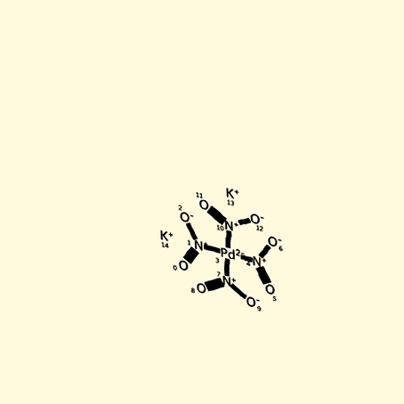 O=[N+]([O-])[Pd-2]([N+](=O)[O-])([N+](=O)[O-])[N+](=O)[O-].[K+].[K+]